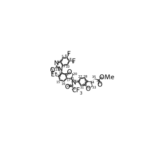 CCOc1nc2cc(F)c(F)cc2n1-c1cccc2c1OC[C@H]2N(C(=O)C(F)(F)F)c1ccc2c(c1)OC[C@H]2CC(=O)OC